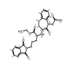 CCOC(=O)C(CCCN1C(=O)c2ccccc2C1=O)N[C@H]1COc2ccccc2N(CC(=O)O)C1=O